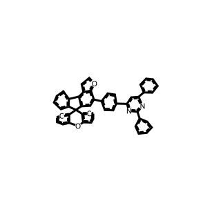 c1ccc(-c2cc(-c3ccc(-c4cc5c(c6ccoc46)-c4ccccc4C54c5ccccc5Oc5ccccc54)cc3)nc(-c3ccccc3)n2)cc1